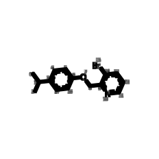 CC(C)c1ccc(OCc2ncccc2Br)cc1